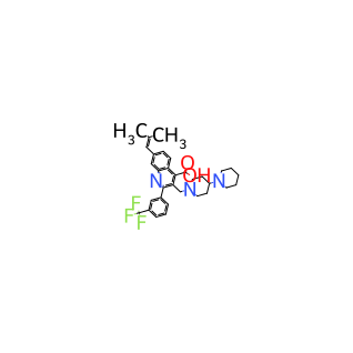 CC(C)=Cc1ccc2c(C(=O)O)c(CN3CCC(N4CCCCC4)CC3)c(-c3cccc(C(F)(F)F)c3)nc2c1